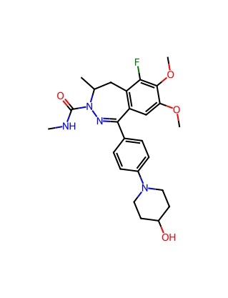 CNC(=O)N1N=C(c2ccc(N3CCC(O)CC3)cc2)c2cc(OC)c(OC)c(F)c2CC1C